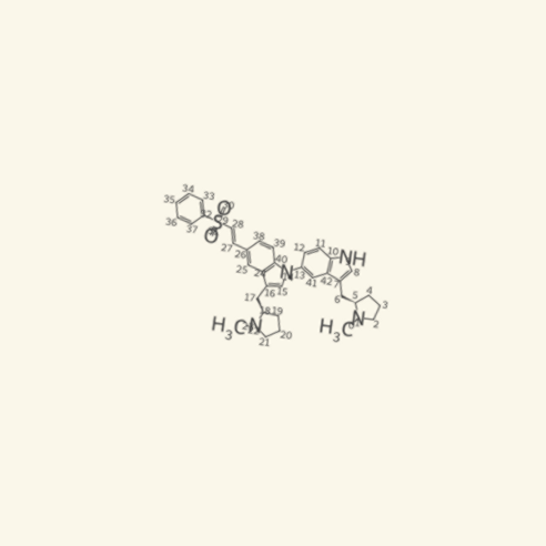 CN1CCC[C@@H]1Cc1c[nH]c2ccc(-n3cc(C[C@H]4CCCN4C)c4cc(/C=C/S(=O)(=O)c5ccccc5)ccc43)cc12